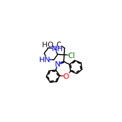 O=C(O)CC(Cl)(C1=Nc2ccccc2Oc2ccccc21)C1CNCCN1